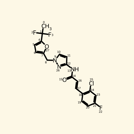 CC(F)(F)c1ccc(Cn2ccc(NC(=O)/C=C/c3ccc(F)cc3Cl)n2)o1